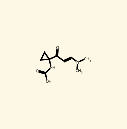 CN(C)C=CC(=O)C1(NC(=O)O)CC1